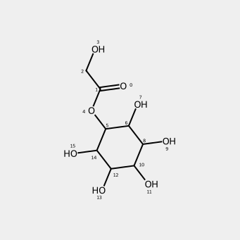 O=C(CO)OC1C(O)C(O)C(O)C(O)C1O